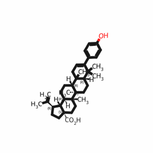 C=C(C)[C@@H]1CC[C@]2(C(=O)O)CC[C@]3(C)[C@H](CC[C@@H]4C5(C)CC=C(c6ccc(O)cc6)C(C)(C)[C@@H]5CC[C@]43C)[C@@H]12